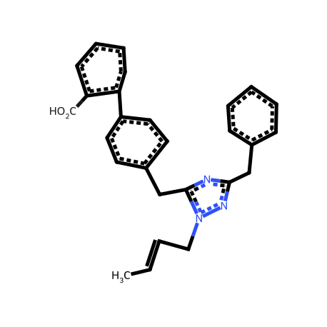 CC=CCn1nc(Cc2ccccc2)nc1Cc1ccc(-c2ccccc2C(=O)O)cc1